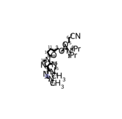 CC(C)N(C(C)C)P(OCCC#N)OCC1CCC(n2cnc3c(/N=C\N(C)C)ncnc32)O1